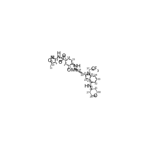 COc1cc(S(=O)(=O)Nc2cc(C)on2)ccc1NCC#Cc1cc2c(NC3CCOCC3)cccc2n1CC(F)(F)F